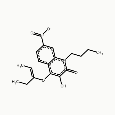 CC=C(CC)Oc1c(O)c(=O)n(CCCC)c2cc([N+](=O)[O-])ccc12